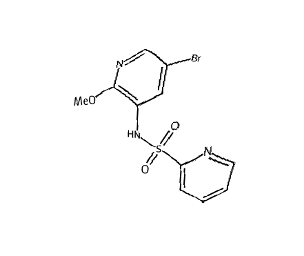 COc1ncc(Br)cc1NS(=O)(=O)c1ccccn1